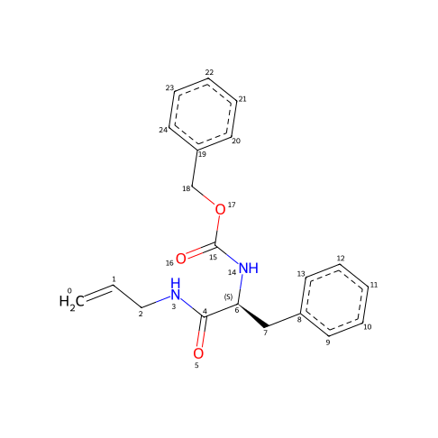 C=CCNC(=O)[C@H](Cc1ccccc1)NC(=O)OCc1ccccc1